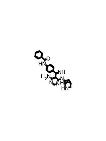 N=C(c1ccc(NC(=O)c2ccccc2)cc1)c1c(N)ncnc1NC1CC2CNC1C2